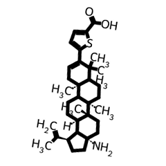 C=C(C)[C@@H]1CC[C@]2(N)CC[C@]3(C)[C@H](CCC4[C@@]5(C)CC=C(c6ccc(C(=O)O)s6)C(C)(C)C5CC[C@]43C)C12